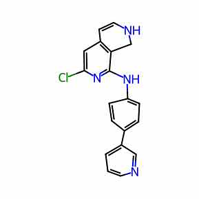 Clc1cc2c(c(Nc3ccc(-c4cccnc4)cc3)n1)CNC=C2